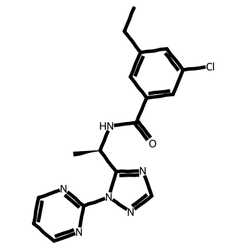 CCc1cc(Cl)cc(C(=O)N[C@H](C)c2ncnn2-c2ncccn2)c1